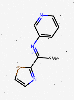 CS/C(=N\c1cccnc1)c1nccs1